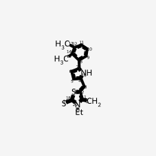 C=c1/c(=C/c2ccc(-c3cccc(C)c3C)[nH]2)sc(=S)n1CC